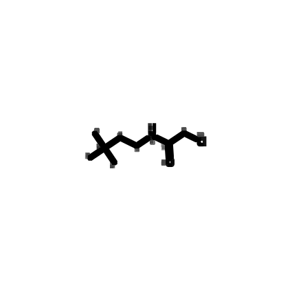 CC(C)(C)CCNC(=O)CCl